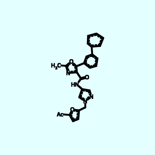 CC(=O)c1ccc(Cn2cc(NC(=O)c3nc(C)oc3-c3cccc(-c4ccccc4)c3)cn2)o1